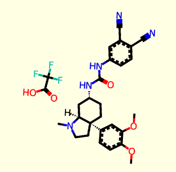 COc1ccc([C@@]23CC[C@@H](NC(=O)Nc4ccc(C#N)c(C#N)c4)C[C@@H]2N(C)CC3)cc1OC.O=C(O)C(F)(F)F